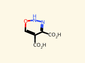 O=C(O)C1=CONN=C1C(=O)O